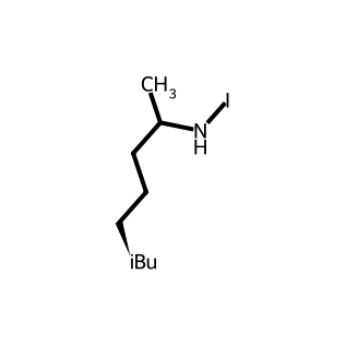 CC[C@H](C)CCCC(C)NI